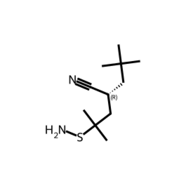 CC(C)(C)C[C@@H](C#N)CC(C)(C)SN